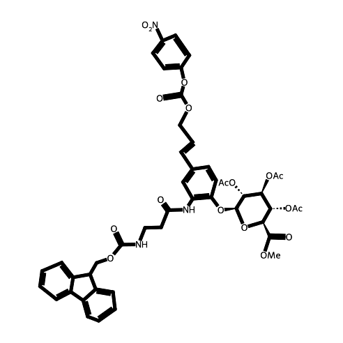 COC(=O)[C@H]1O[C@@H](Oc2ccc(/C=C/COC(=O)Oc3ccc([N+](=O)[O-])cc3)cc2NC(=O)CCNC(=O)OCC2c3ccccc3-c3ccccc32)[C@H](OC(C)=O)[C@@H](OC(C)=O)[C@@H]1OC(C)=O